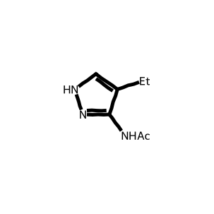 [CH2]Cc1c[nH]nc1NC(C)=O